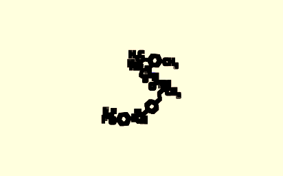 Cc1ccc(C(C)C)c(N2/C(=N/C(=O)NC(C)CCc3ccc(-c4ncn(-c5ccc(OC(F)(F)F)cc5)n4)cc3)SCC2O)c1